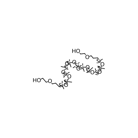 C[Si](C)(CCCOCCO)O[Si](C)(C)O[Si](C)(C)O[Si](C)(C)O[Si](C)(C)O[Si](C)(C)O[Si](C)(C)O[Si](C)(C)O[Si](C)(C)O[Si](C)(C)O[Si](C)(C)CCCOCCO